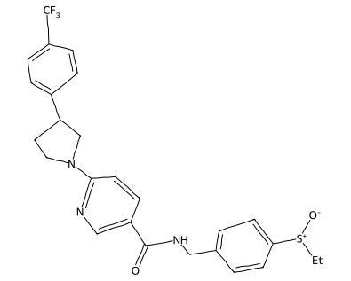 CC[S+]([O-])c1ccc(CNC(=O)c2ccc(N3CCC(c4ccc(C(F)(F)F)cc4)C3)nc2)cc1